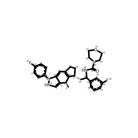 C[C@H]1C2=CNN(c3ccc(F)cc3)C2=CC2=C1[C@@H](CC(NC(=O)N1CCOCC1)c1cccc(F)c1)CC2